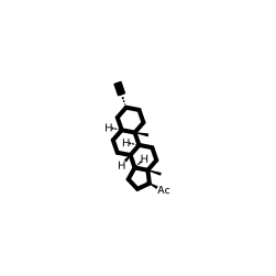 C#C[C@@H]1CC[C@@]2(C)[C@@H](CC[C@@H]3[C@@H]2CC[C@]2(C)[C@@H](C(C)=O)CC[C@@H]32)C1